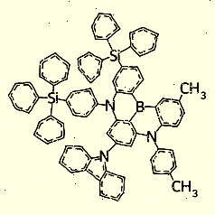 Cc1ccc(N2c3ccc(C)cc3B3c4ccc([Si](c5ccccc5)(c5ccccc5)c5ccccc5)cc4N(c4ccc([Si](c5ccccc5)(c5ccccc5)c5ccccc5)cc4)c4cc(-n5c6ccccc6c6ccccc65)cc2c43)cc1